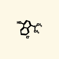 C[S+](C)c1ccc(O)c2ccccc12.[Cl-]